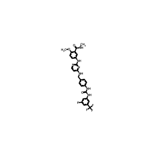 CNC(=O)c1cc(Nc2nccc(NCc3ccc(NC(=O)Nc4cc(F)cc(C(F)(F)F)c4)cc3)n2)ccc1OC